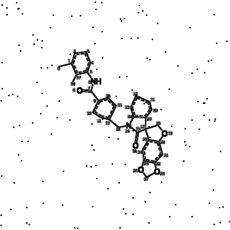 Cc1cccc(NC(=O)c2ccc(CN3C(=O)C4(COc5cc6c(cc54)OCO6)c4ccccc43)cc2)c1C